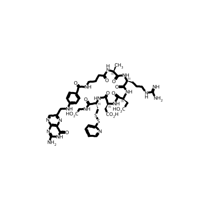 C[C@H](NC(=O)CCCNC(=O)c1ccc(NCc2cnc3nc(N)[nH]c(=O)c3n2)cc1)C(=O)N[C@@H](CCCNC(=N)N)C(=O)N[C@@H](CC(=O)O)C(=O)N[C@@H](CC(=O)O)C(=O)N[C@H](CSSc1ccccn1)C(=O)NCC(=O)O